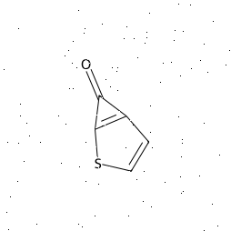 O=c1c2ccsc12